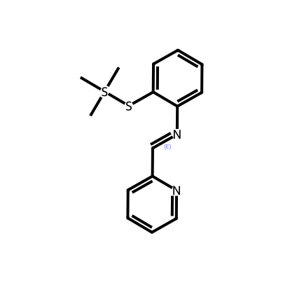 CS(C)(C)Sc1ccccc1/N=C/c1ccccn1